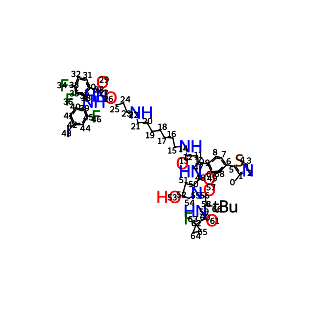 Cc1ncsc1-c1ccc([C@H](CC(=O)NCCCCCCCNCCCONC(=O)c2ccc(F)c(F)c2Nc2ccc(I)cc2F)NC(=O)[C@@H]2C[C@@H](O)CN2C(=O)C(NC(=O)C2(F)CC2)C(C)(C)C)cc1